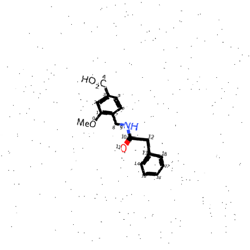 COc1cc(C(=O)O)ccc1CNC(=O)Cc1ccccc1